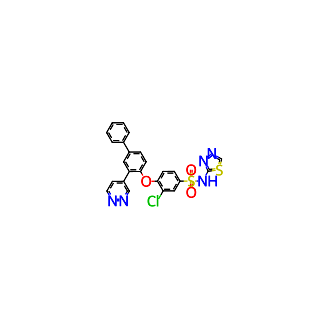 O=S(=O)(Nc1nncs1)c1ccc(Oc2ccc(-c3ccccc3)cc2-c2ccnnc2)c(Cl)c1